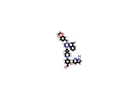 CC(C)c1ccccc1C1CN(Cc2ccc3c(c2)OCCO3)CCN1C1CC2(CCN(c3ccc(C=O)c(Oc4cnc5[nH]ccc5c4)c3)CC2)C1